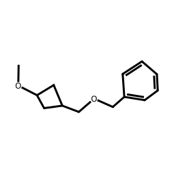 COC1CC(COCc2ccccc2)C1